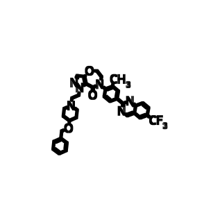 Cc1cc(-c2ncc3cc(C(F)(F)F)ccc3n2)ccc1N1CCOc2cnn(CCN3CCC(OCc4ccccc4)CC3)c2C1=O